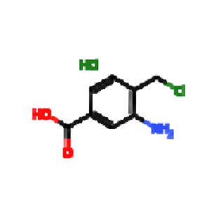 Cl.Nc1cc(C(=O)O)ccc1CCl